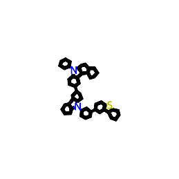 c1ccc(-n2c3ccc(-c4ccc5c(c4)c4ccccc4n5-c4cccc(-c5ccc6sc7ccccc7c6c5)c4)cc3c3c4ccccc4ccc32)cc1